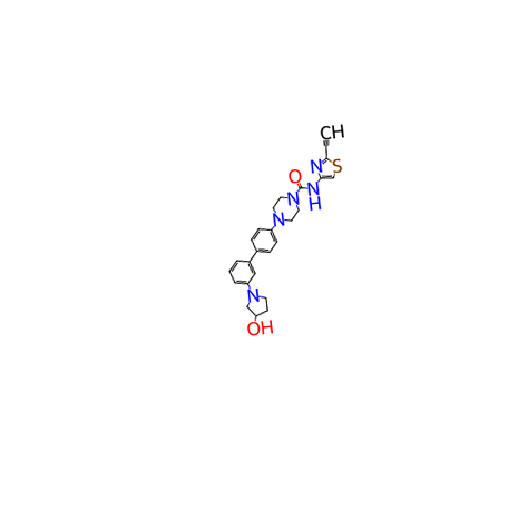 C#Cc1nc(NC(=O)N2CCN(c3ccc(-c4cccc(N5CCC(O)C5)c4)cc3)CC2)cs1